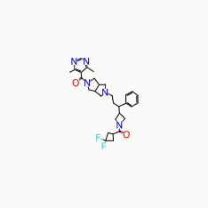 Cc1ncnc(C)c1C(=O)N1CC2CN(CCC(c3ccccc3)C3CN(C(=O)C4CC(F)(F)C4)C3)CC2C1